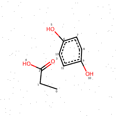 CCC(=O)O.Oc1ccc(O)cc1